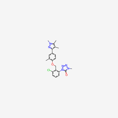 Cc1cc(-c2nn(C)c(C)c2C)ccc1OCc1c(Cl)cccc1-n1nnn(C)c1=O